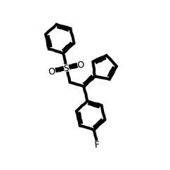 O=S(=O)(CC(=C1C=CC=C1)c1ccc(F)cc1)c1ccccc1